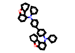 C1=Cc2c(oc3cccc(N(c4ccccc4)c4ccc(-c5ccc(N(c6ccccc6)c6cccc7oc8ccccc8c67)cc5)cc4)c23)CC1